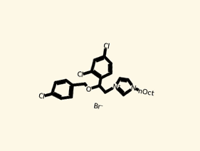 CCCCCCCCn1cc[n+](CC(OCc2ccc(Cl)cc2)c2ccc(Cl)cc2Cl)c1.[Br-]